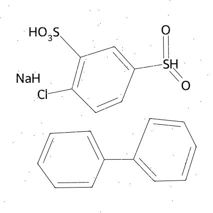 O=[SH](=O)c1ccc(Cl)c(S(=O)(=O)O)c1.[NaH].c1ccc(-c2ccccc2)cc1